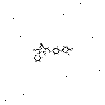 Cn1cc(-c2ccc(CCN(C#N)C(=O)N(C(=O)O)C3CCCCC3)cc2)ncc1=O